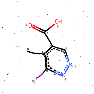 Cc1c(C(=O)O)cnnc1I